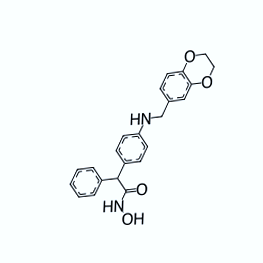 O=C(NO)C(c1ccccc1)c1ccc(NCc2ccc3c(c2)OCCO3)cc1